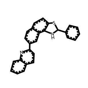 c1ccc(C2Nc3c(ccc4ccc(-c5ccc6ccccc6n5)cc34)S2)cc1